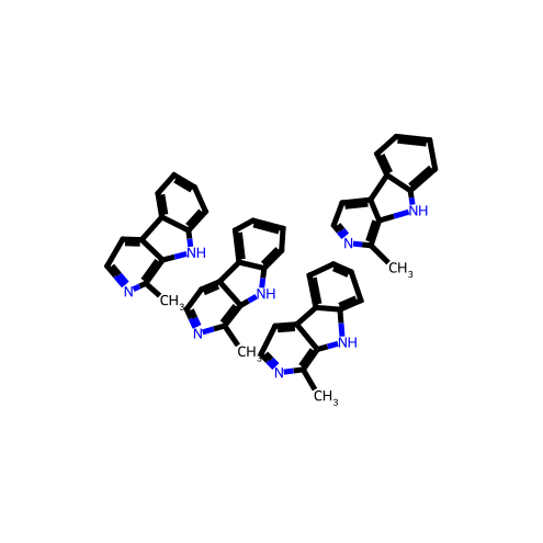 Cc1nccc2c1[nH]c1ccccc12.Cc1nccc2c1[nH]c1ccccc12.Cc1nccc2c1[nH]c1ccccc12.Cc1nccc2c1[nH]c1ccccc12